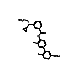 COc1ccc(F)c(-c2ccc(OC(=O)c3cccc([C@@H](CC(=O)O)C4CC4)c3)c(C)c2)c1